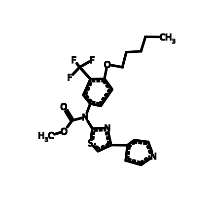 CCCCCOc1ccc(N(C(=O)OC)c2nc(-c3ccncc3)cs2)cc1C(F)(F)F